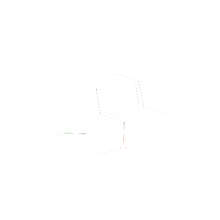 Cc1ccc2c(c1C)OCC2Br